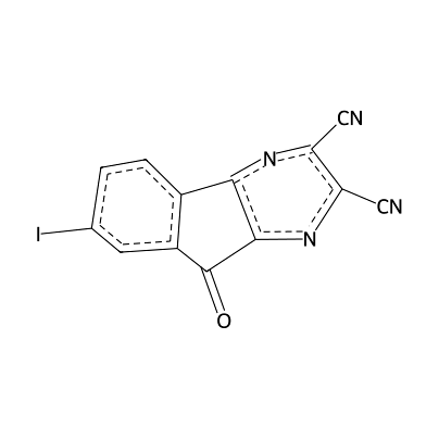 N#Cc1nc2c(nc1C#N)-c1ccc(I)cc1C2=O